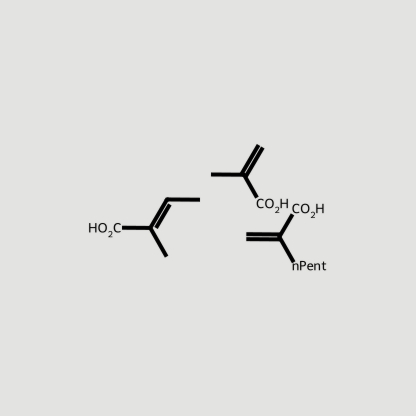 C=C(C)C(=O)O.C=C(CCCCC)C(=O)O.CC=C(C)C(=O)O